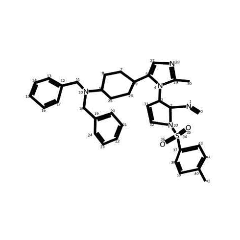 C=NC1C(n2c(C3CCC(N(Cc4ccccc4)Cc4ccccc4)CC3)cnc2C)C=CN1S(=O)(=O)c1ccc(C)cc1